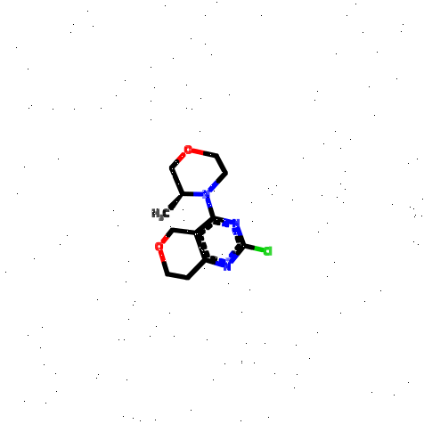 C[C@H]1COCCN1c1nc(Cl)nc2c1COCC2